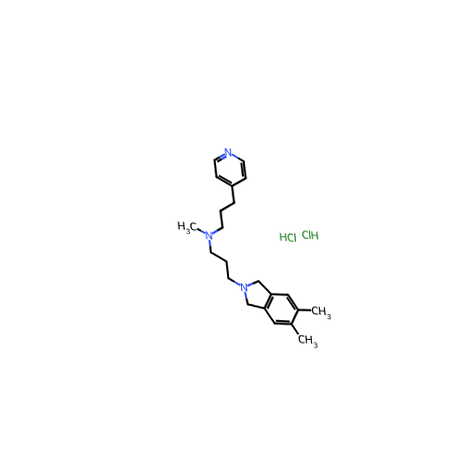 Cc1cc2c(cc1C)CN(CCCN(C)CCCc1ccncc1)C2.Cl.Cl